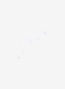 CC(C)N1CCN(c2nc3ccc(N)cc3s2)CC1